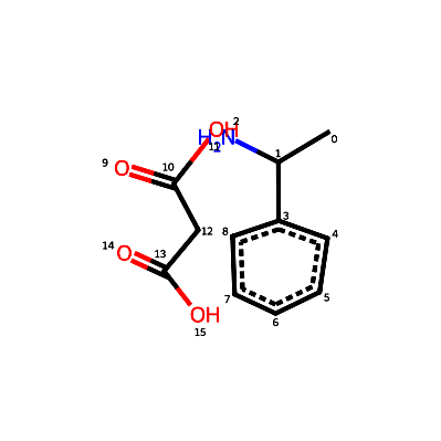 CC(N)c1ccccc1.O=C(O)CC(=O)O